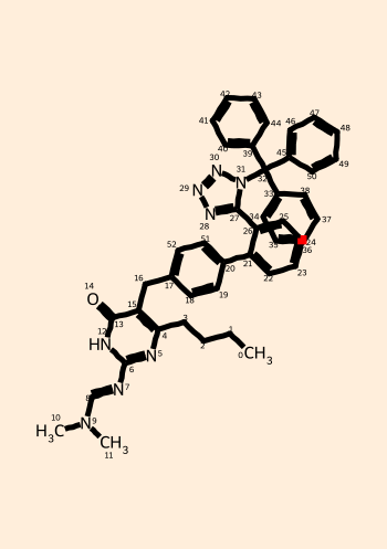 CCCCc1nc(N=CN(C)C)[nH]c(=O)c1Cc1ccc(-c2ccccc2-c2nnnn2C(c2ccccc2)(c2ccccc2)c2ccccc2)cc1